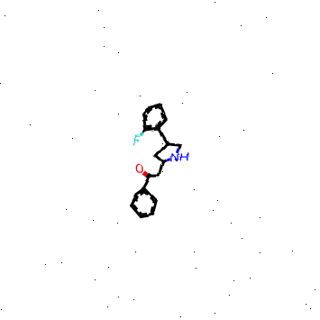 O=C(CC1CC(c2ccccc2F)CN1)c1ccccc1